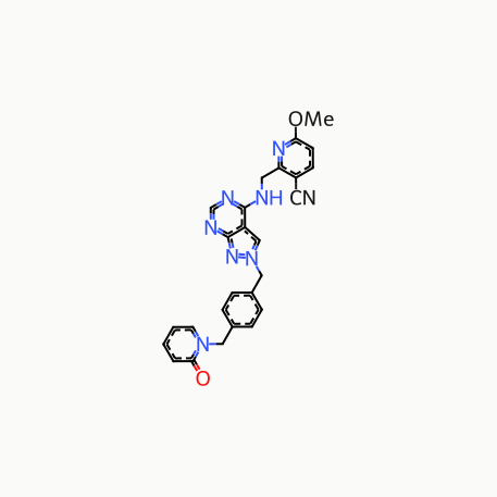 COc1ccc(C#N)c(CNc2ncnc3nn(Cc4ccc(Cn5ccccc5=O)cc4)cc23)n1